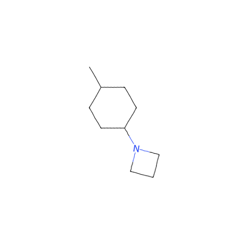 CC1CCC(N2CCC2)CC1